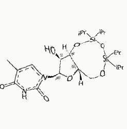 Cc1cn([C@@H]2O[C@H]3CO[Si](C(C)C)(C(C)C)O[Si](C(C)C)(C(C)C)O[C@@H]3[C@@H]2O)c(=O)[nH]c1=O